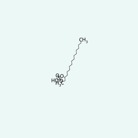 CCCCCCCCCCCCCCC(CC)OS(=O)(=O)O